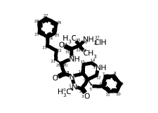 CN1C(=O)[C@]2(Cc3ccccc3)CNCCC2N1C(=O)[C@@H](CCCc1ccccc1)NC(=O)C(C)(C)N.Cl